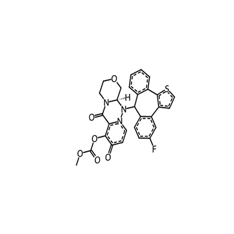 COC(=O)Oc1c2n(ccc1=O)N(C1c3ccc(F)cc3-c3ccsc3-c3ccccc31)[C@@H]1COCCN1C2=O